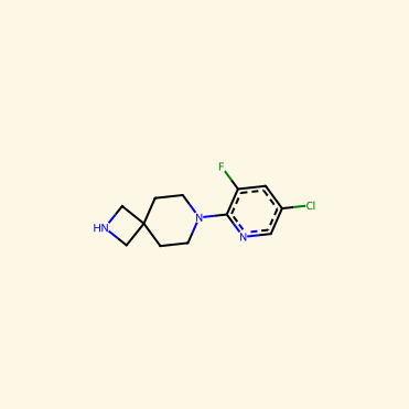 Fc1cc(Cl)cnc1N1CCC2(CC1)CNC2